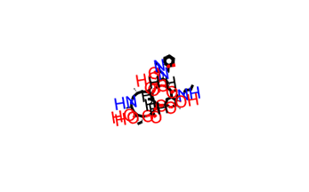 CCCNC[C@]1(O)[C@H](C)O[C@@H]2C[C@]1(OC)C[C@@H]1C[C@H](N(CCC)C(=O)N(C)c3ccccc3)[C@@H](O)[C@@H](O1)O[C@@H]1[C@@H](C)[C@H](O2)[C@@H](C)C(=O)O[C@H](CC)[C@@](C)(O)[C@H](O)[C@@H](C)NC[C@H](C)C[C@@]1(C)O